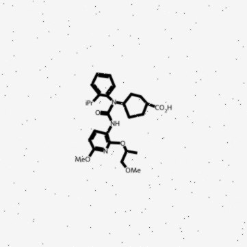 COCC(C)Oc1nc(OC)ccc1NC(=O)N(c1ccccc1C(C)C)C1CCC(C(=O)O)CC1